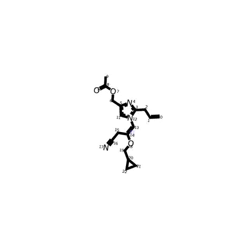 C=CCc1nc(COC(C)=O)cn1/C=C(\CC#N)OCC1CC1